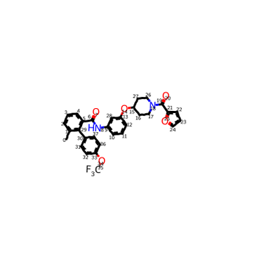 Cc1cccc(C(=O)Nc2cccc(OC3CCN(C(=O)c4ccco4)CC3)c2)c1-c1ccc(OC(F)(F)F)cc1